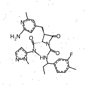 CCC(NC(=O)N1C(=O)[C@H](Cc2cc(C)nc(N)c2)[C@H]1C(=O)N(C)c1ccnn1C)c1ccc(C)c(F)c1